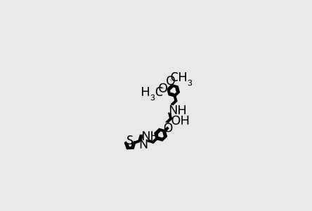 COc1ccc(CCNC[C@H](O)COc2ccc(Cc3nc(-c4cccs4)c[nH]3)cc2)cc1OC